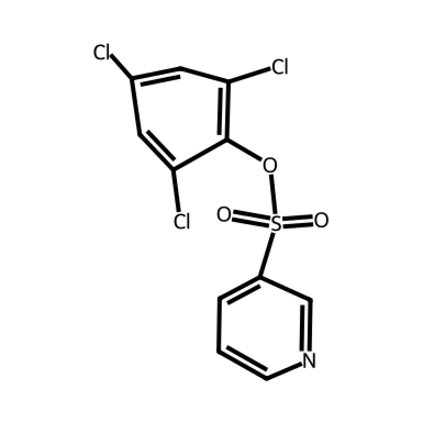 O=S(=O)(Oc1c(Cl)cc(Cl)cc1Cl)c1cccnc1